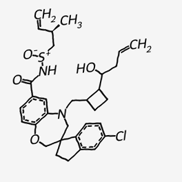 C=CCC(O)C1CCC1CN1CC2(CCc3cc(Cl)ccc32)COc2ccc(C(=O)N[S+]([O-])C[C@H](C)C=C)cc21